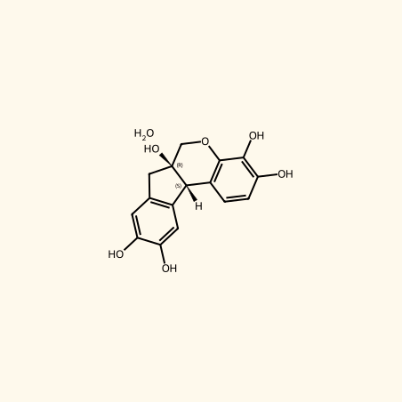 O.Oc1cc2c(cc1O)[C@H]1c3ccc(O)c(O)c3OC[C@@]1(O)C2